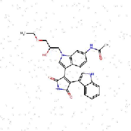 CCOCC(O)Cn1cc(C2=C(c3c[nH]c4ccccc34)C(=O)NC2=O)c2ccc(NC(C)=O)cc21